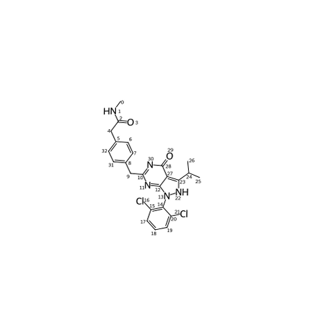 CNC(=O)Cc1ccc(Cc2nc3n(-c4c(Cl)cccc4Cl)[nH]c(C(C)C)c-3c(=O)n2)cc1